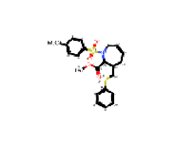 COc1ccc(S(=O)(=O)N2CC=CCC(CSc3ccccc3)C2C(=O)OC(C)(C)C)cc1